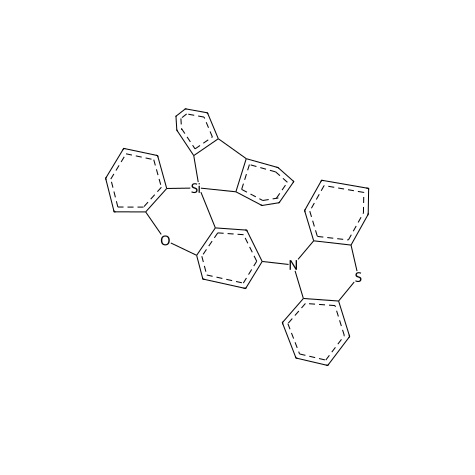 c1ccc2c(c1)Oc1ccc(N3c4ccccc4Sc4ccccc43)cc1[Si]21c2ccccc2-c2ccccc21